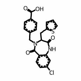 O=C(O)c1ccc(CN2C(=O)c3ccc(Cl)cc3NC(=O)C2Cc2cccs2)cc1